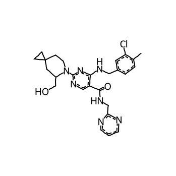 Cc1ccc(CNc2nc(N3CCC4(CC4)CC3CO)ncc2C(=O)NCc2ncccn2)cc1Cl